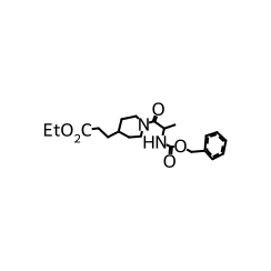 CCOC(=O)CCC1CCN(C(=O)C(C)NC(=O)OCc2ccccc2)CC1